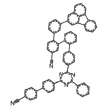 N#Cc1ccc(-c2ccc(-c3nc(-c4ccccc4)nc(-c4ccc(-c5ccccc5-c5cc(C#N)ccc5-c5cccc(-c6cc7c8c(cccc8c6)-c6ccccc6-7)c5)cc4)n3)cc2)cc1